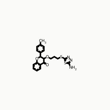 Cc1ccc(C2Oc3ccccc3C(=O)C2OCCCSc2nnc(N)s2)cc1